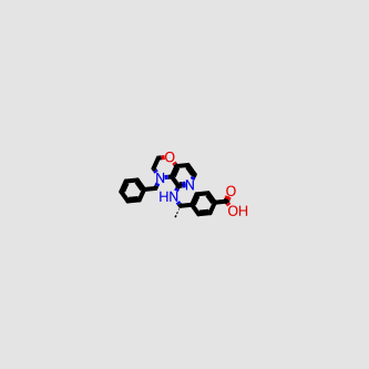 C[C@H](Nc1nccc2c1N(Cc1ccccc1)CCO2)c1ccc(C(=O)O)cc1